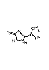 CCCN(C)c1nc(=S)[nH][nH]1